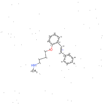 CNCCCCOc1ccccc1/C=C/c1ccccc1